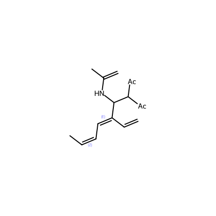 C=C/C(=C\C=C/C)C(NC(=C)C)C(C(C)=O)C(C)=O